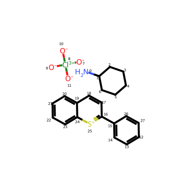 NC1CCCCC1.[O-][Cl+3]([O-])([O-])[O-].c1ccc(-c2ccc3ccccc3[s+]2)cc1